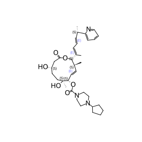 C/C(=C\C=C\[C@H](C)c1ccccn1)[C@H]1OC(=O)C[C@@H](O)CC[C@](C)(O)[C@@H](OC(=O)N2CCN(C3CCCC3)CC2)/C=C/[C@@H]1C